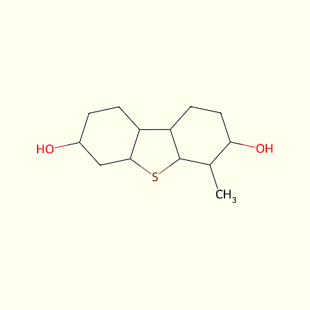 CC1C(O)CCC2C3CCC(O)CC3SC12